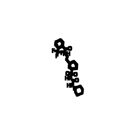 O=C(NN1CCCCC1)NS(=O)(=O)c1cccc(CCNC(=O)c2ccccc2C(F)(F)F)c1